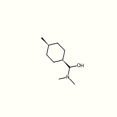 CN(C)C(O)[C@H]1CC[C@@H](C)CC1